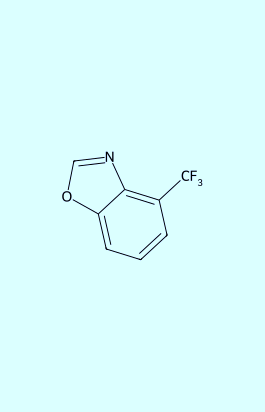 FC(F)(F)c1cccc2ocnc12